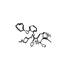 Cc1[nH]cc2cc(C(=O)N(c3ccccc3Oc3ccccc3)C3CN(C)C3)[nH]c(=O)c12